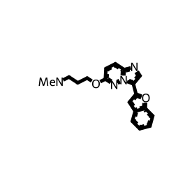 CNCCCOc1ccc2ncc(-c3cc4ccccc4o3)n2n1